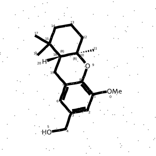 COc1cc(CO)cc2c1O[C@]1(C)CCCC(C)(C)[C@H]1C2